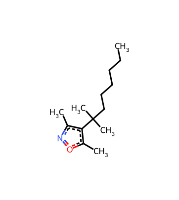 CCCCCCC(C)(C)c1c(C)noc1C